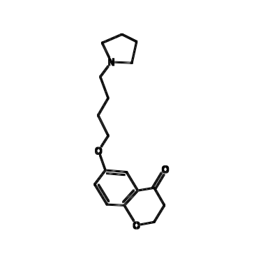 O=C1CCOc2ccc(OCCCCN3CCCC3)cc21